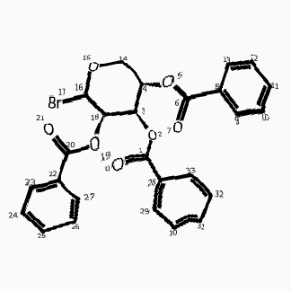 O=C(O[C@@H]1[C@H](OC(=O)c2ccccc2)COC(Br)[C@@H]1OC(=O)c1ccccc1)c1ccccc1